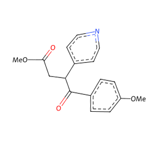 COC(=O)CC(C(=O)c1ccc(OC)cc1)c1ccncc1